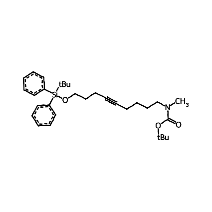 CN(CCCCC#CCCCO[Si](c1ccccc1)(c1ccccc1)C(C)(C)C)C(=O)OC(C)(C)C